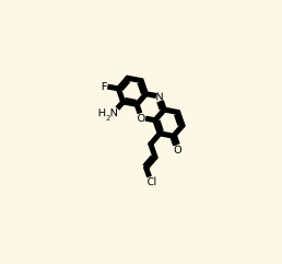 Nc1c(F)ccc2nc3ccc(=O)c(CC=CCl)c-3oc12